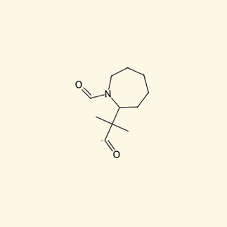 CC(C)([C]=O)C1CCCCCN1C=O